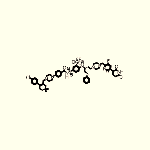 CC1(C)CCC(c2ccc(Cl)cc2)=C(CN2CCN(c3ccc(C(=O)NS(=O)(=O)c4ccc(N[C@H](CCN5CCN(Cc6nnc(C7CCC(=O)NC7=O)cc6F)CC5)CSc5ccccc5)c(S(=O)(=O)C(F)(F)F)c4)cc3)CC2)C1